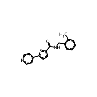 Cc1ccccc1CNC(=O)c1ccc(-c2ccncc2)s1